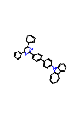 C1=Cc2c(n(-c3ccc(-c4ccc(-c5nc(-c6ccccc6)cc(-c6ccccc6)n5)cc4)cc3)c3ccccc23)C=CC1